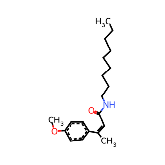 CCCCCCCCCNC(=O)/C=C(/C)c1ccc(OC)cc1